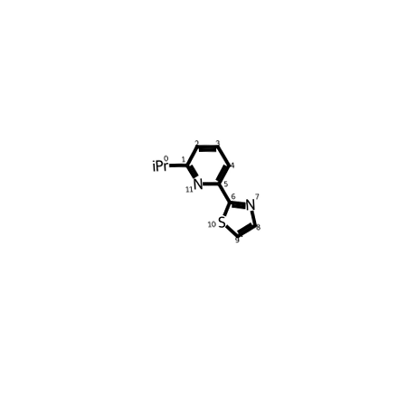 CC(C)c1cccc(-c2nc[c]s2)n1